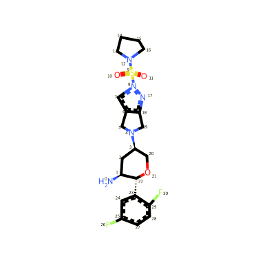 N[C@H]1C[C@@H](N2Cc3cn(S(=O)(=O)N4CCCC4)nc3C2)CO[C@@H]1c1cc(F)ccc1F